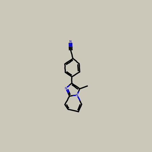 Cc1c(-c2ccc(C#N)cc2)nc2ccccn12